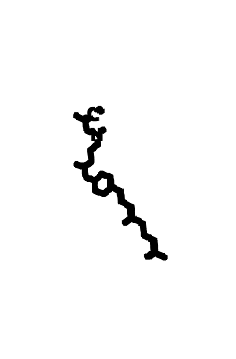 C=C=C(C)CN(C)CCCC(C)CC1CC=C(CC/C=C(\C)CCC=C(C)C)CC1